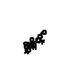 COCC(NC(=O)OC(C)(C)C)C(=O)Nc1cc(F)c2c(c1)CC(C=O)C2